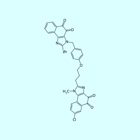 CC(C)c1nc2c(n1Cc1ccc(OCCCc3nc4c(n3C)-c3ccc(Cl)cc3C(=O)C4=O)cc1)C(=O)C(=O)c1ccccc1-2